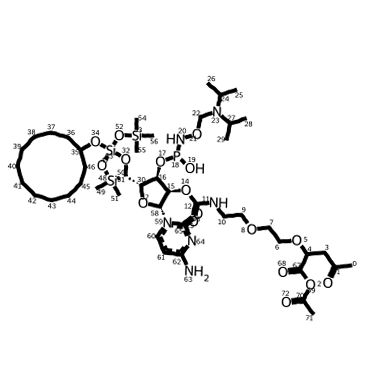 CC(=O)CC(OCCOCCNC(=O)O[C@@H]1[C@H](OP(O)NOCN(C(C)C)C(C)C)[C@@H](CO[Si](OC2CCCCCCCCCCC2)(O[Si](C)(C)C)O[Si](C)(C)C)O[C@H]1n1ccc(N)nc1=O)C(=O)OC(C)=O